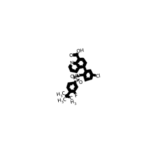 CC(C)(C)c1ccc(S(=O)(=O)Nc2ccc(Cl)cc2-c2ccc(C(=O)O)c3ncccc23)cc1F